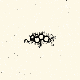 CC[C@H]1C[C@]2(C)[C@H](C=O)CC[C@@H]2[C@@H]2CCC3=C(CCC(OC)(OC)C3)[C@@H]12